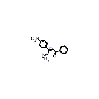 C/N=C/C(=C\C(=O)c1ccccc1)c1ccc([N+](=O)[O-])cc1